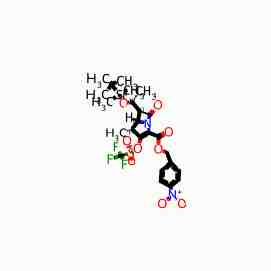 C[C@@H](O[Si](C)(C)C(C)(C)C)[C@H]1C(=O)N2C(C(=O)OCc3ccc([N+](=O)[O-])cc3)=C(OS(=O)(=O)C(F)(F)F)[C@H](C)[C@H]12